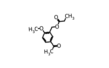 CCC(=O)OCc1cc(C(C)=O)ccc1OC